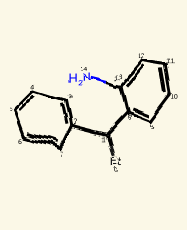 CCC(c1ccccc1)c1ccccc1N